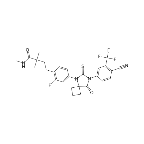 CNC(=O)C(C)(C)CCc1ccc(N2C(=S)N(c3ccc(C#N)c(C(F)(F)F)c3)C(=O)C23CCC3)cc1F